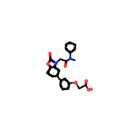 CN(C(=O)Cn1c(=O)oc2ccc(-c3cccc(OCC(=O)O)c3)cc21)c1ccccc1